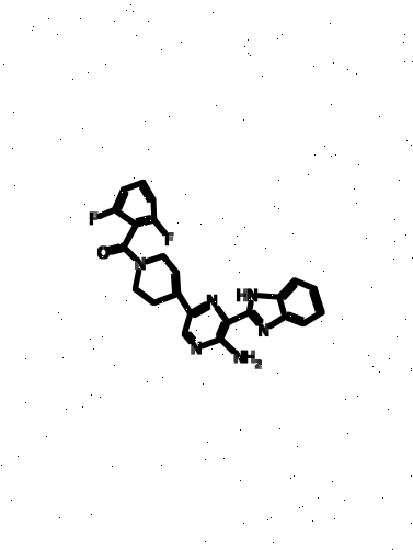 Nc1ncc(C2=CCN(C(=O)c3c(F)cccc3F)CC2)nc1-c1nc2ccccc2[nH]1